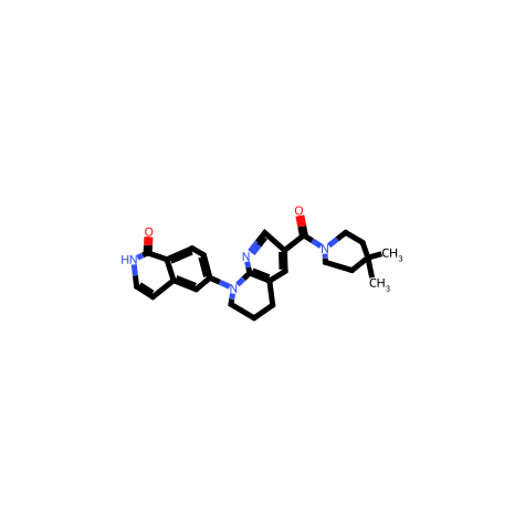 CC1(C)CCN(C(=O)c2cnc3c(c2)CCCN3c2ccc3c(=O)[nH]ccc3c2)CC1